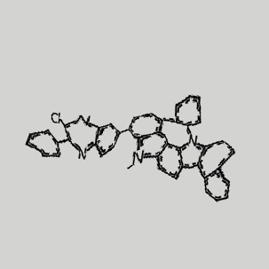 Cn1c2ccc3c4c5ccccc5ccc4n4c5ccccc5c5ccc(-c6ccc7nc(-c8ccccc8)c(Cl)nc7c6)c1c5c2c34